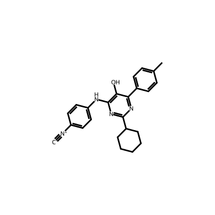 [C-]#[N+]c1ccc(Nc2nc(C3CCCCC3)nc(-c3ccc(C)cc3)c2O)cc1